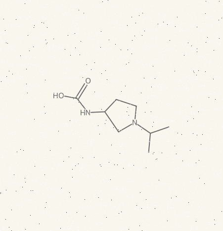 CC(C)N1CCC(NC(=O)O)C1